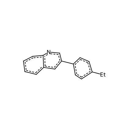 CCc1ccc(-c2cnc3ccccc3c2)cc1